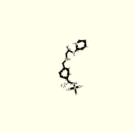 C[C@H](CNCc1ccc([C@H](NS(C)(=O)=O)C(F)(F)F)cc1)Oc1ccccn1